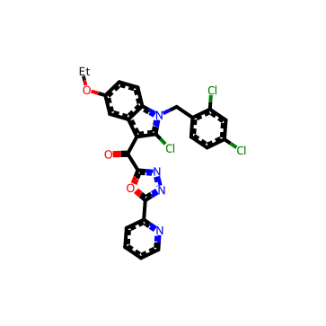 CCOc1ccc2c(c1)c(C(=O)c1nnc(-c3ccccn3)o1)c(Cl)n2Cc1ccc(Cl)cc1Cl